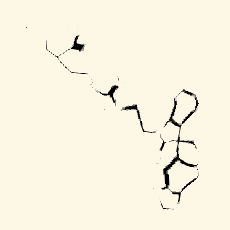 CCC(CCNC(=O)NCCN1C(=O)C2(COc3cc4c(cc32)OCO4)c2ccccc21)C(=O)O